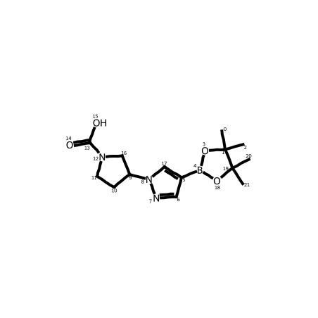 CC1(C)OB(c2cnn(C3CCN(C(=O)O)C3)c2)OC1(C)C